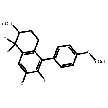 CCCCCCCCOc1ccc(-c2c(F)c(F)cc3c2CCC(CCCCCCCC)C3(F)F)cc1